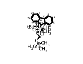 [CH2]=[Ti]([CH3])([Cl])([Cl])([NH]C(C)(C)C)([O]CO[Si](C)(C)C)[CH]1c2ccccc2-c2ccccc21